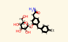 CCc1ccc(Cc2ccc(CC(N)=O)cc2O[C@H]2O[C@H](CO)[C@@H](O)[C@H](O)[C@H]2O)cc1